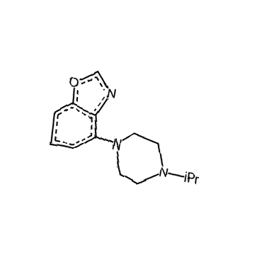 CC(C)N1CCN(c2cccc3ocnc23)CC1